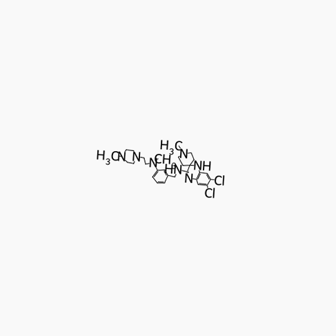 CN1CCN(CCN(C)c2cccc(CNC3=Nc4cc(Cl)c(Cl)cc4NC34CCN(C)CC4)c2)CC1